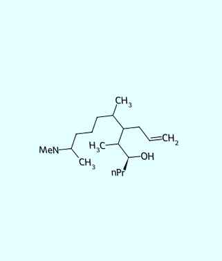 C=CCC(C(C)CCCC(C)NC)C(C)[C@@H](O)CCC